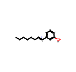 CCCCCC/C=C/c1cccc(O)c1